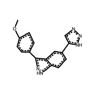 COc1ccc(-c2n[nH]c3ccc(-c4cnn[nH]4)cc23)cc1